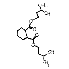 CC(O)CCOC(=O)C1CCCCC1C(=O)OCCC(C)O